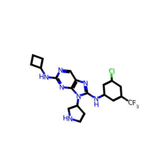 FC(F)(F)C1CC(Cl)CC(Nc2nc3cnc(NC4CCC4)nc3n2C2CCNC2)C1